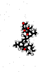 CCC1(C)CC(OC(=O)C(Cc2cc(C(C)(C)C)c(O)c(C(C)(C)C)c2)(Cc2cc(C(C)(C)C)c(O)c(C(C)(C)C)c2)C(=O)OC2CC(C)(CC)N(C(C)=O)C(C)(CC)C2C)C(C)C(C)(CC)N1C(C)=O